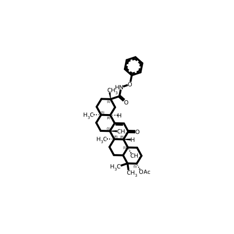 CC(=O)O[C@H]1CC[C@@]2(C)C(CC[C@]3(C)[C@@H]2C(=O)C=C2[C@@H]4C[C@@](C)(C(=O)NOc5ccccc5)CC[C@]4(C)CC[C@]23C)C1(C)C